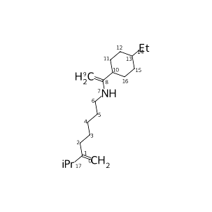 C=C(CCCCCNC(=C)C1CCC(CC)CC1)C(C)C